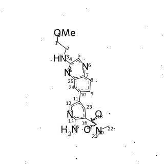 COCCNc1cnc2ccc(-c3cnc(N)c(S(=O)(=O)N(C)C)c3)cc2n1